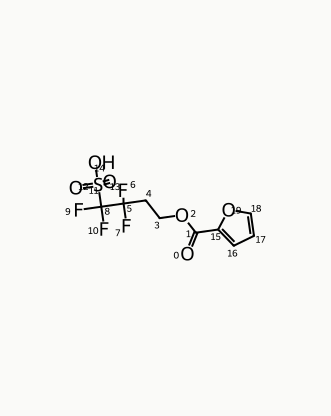 O=C(OCCC(F)(F)C(F)(F)S(=O)(=O)O)c1ccco1